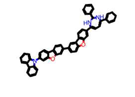 C1=CC(C2=CC=C(c3ccc4c(c3)oc3ccc(-c5ccc6c(c5)oc5cc(-n7c8ccccc8c8ccccc87)ccc56)cc34)NC(c3ccccc3)N2)=CCC1